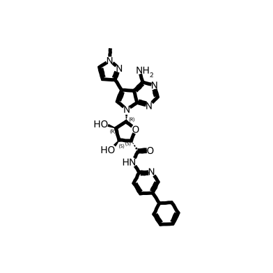 Cn1ccc(-c2cn([C@@H]3O[C@H](C(=O)Nc4ccc(C5C=CC=CC5)cn4)[C@@H](O)[C@H]3O)c3ncnc(N)c23)n1